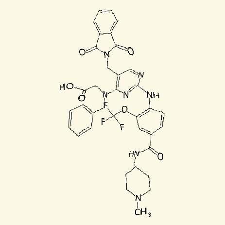 CN1CCC(NC(=O)c2ccc(Nc3ncc(CN4C(=O)c5ccccc5C4=O)c(N(CC(=O)O)Cc4ccccc4)n3)c(OC(F)(F)F)c2)CC1